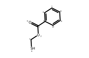 O=C(OCS)c1ccccc1